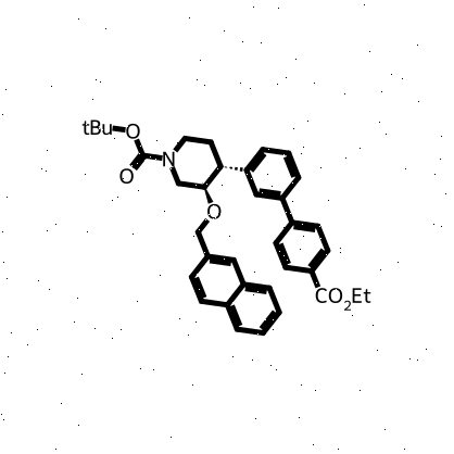 CCOC(=O)c1ccc(-c2cccc([C@H]3CCN(C(=O)OC(C)(C)C)C[C@@H]3OCc3ccc4ccccc4c3)c2)cc1